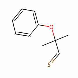 CC(C)(C=S)Oc1[c]cccc1